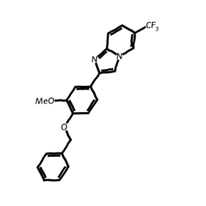 COc1cc(-c2cn3cc(C(F)(F)F)ccc3n2)ccc1OCc1ccccc1